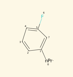 CC[CH]c1cccc(F)c1